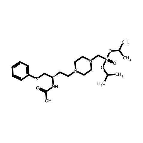 CC(C)OP(=O)(CN1CCN(CC[C@H](CSc2ccccc2)NC(=O)O)CC1)OC(C)C